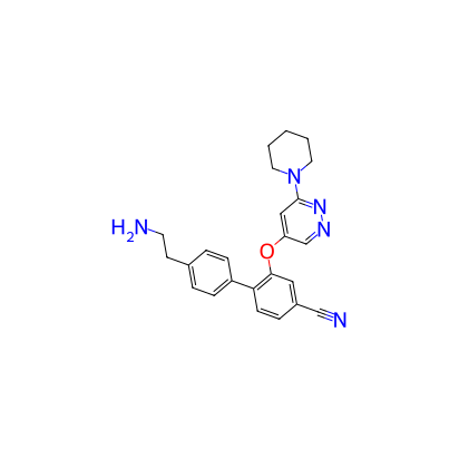 N#Cc1ccc(-c2ccc(CCN)cc2)c(Oc2cnnc(N3CCCCC3)c2)c1